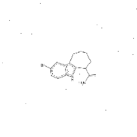 C=C(N)C1CCCCc2c1[nH]c1ccc(Br)cc21